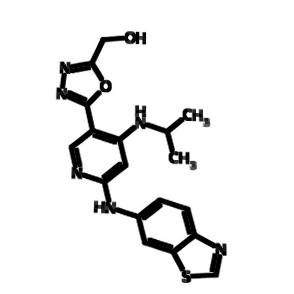 CC(C)Nc1cc(Nc2ccc3ncsc3c2)ncc1-c1nnc(CO)o1